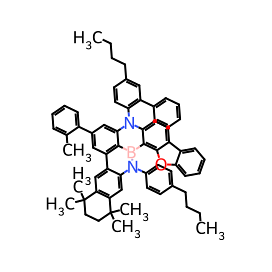 CCCCc1ccc(N2B3c4c(cc(-c5ccccc5C)cc4N(c4ccc(CCCC)cc4-c4ccccc4)c4ccc5c(oc6ccccc65)c43)-c3cc4c(cc32)C(C)(C)CCC4(C)C)cc1